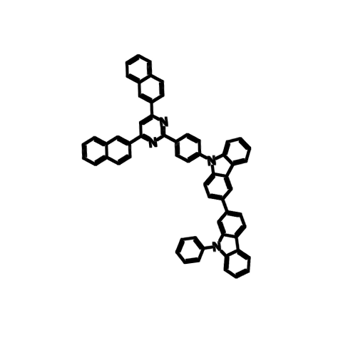 c1ccc(-n2c3ccccc3c3ccc(-c4ccc5c(c4)c4ccccc4n5-c4ccc(-c5nc(-c6ccc7ccccc7c6)cc(-c6ccc7ccccc7c6)n5)cc4)cc32)cc1